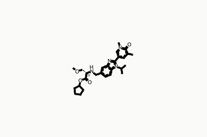 COC[C@H](NCc1ccc2c(c1)nc(-c1cc(C)c(=O)n(C)c1)n2C(C)C)C(=O)OC1CCCC1